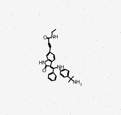 CCNC(=O)C#Cc1ccc2c(c1)NC(=O)/C2=C(/Nc1ccc(C(C)(C)N)cc1)c1ccccc1